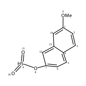 COc1ccc2ccc(O[SH](=O)=O)cc2c1